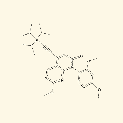 COc1ccc(-n2c(=O)cc(C#C[Si](C(C)C)(C(C)C)C(C)C)c3cnc(SC)nc32)c(OC)c1